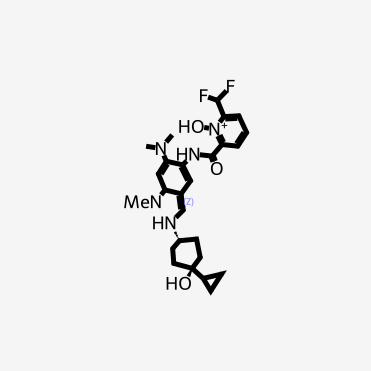 CNC1C=C(N(C)C)C(NC(=O)c2cccc(C(F)F)[n+]2O)=C/C1=C/N[C@H]1CC[C@@](O)(C2CC2)CC1